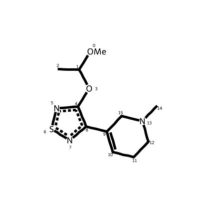 COC(C)Oc1nsnc1C1=CCCN(C)C1